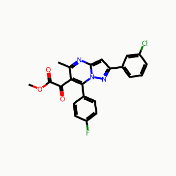 COC(=O)C(=O)c1c(C)nc2cc(-c3cccc(Cl)c3)nn2c1-c1ccc(F)cc1